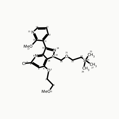 COCCOc1cc(Cl)nc2c(-c3cccnc3OC)nn(COCC[Si](C)(C)C)c12